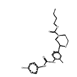 CCCCOC(=O)N1CCOC(c2ccc(NC(=O)Nc3ccc(Cl)nc3)c(C)c2)C1